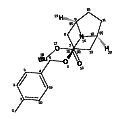 Cc1ccc(CO[C@H]2C[C@H]3CC[C@@H](C2)N3C(=O)OC(C)(C)C)cc1